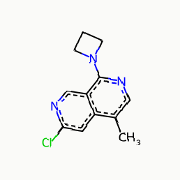 Cc1cnc(N2CCC2)c2cnc(Cl)cc12